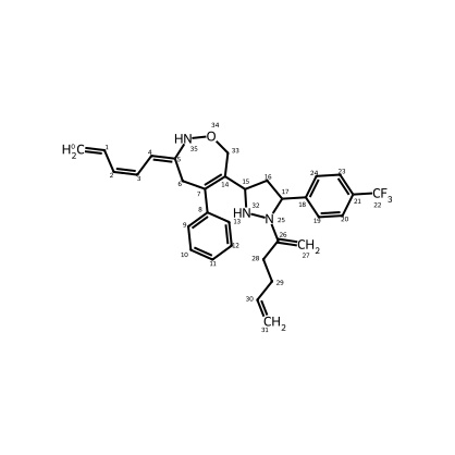 C=C/C=C\C=C1/CC(c2ccccc2)=C(C2CC(c3ccc(C(F)(F)F)cc3)N(C(=C)CCC=C)N2)CON1